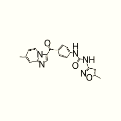 Cc1ccn2c(C(=O)c3ccc(NC(=O)Nc4cc(C)on4)cc3)cnc2c1